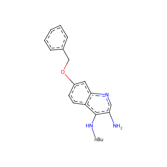 [CH2]CCCNc1c(N)cnc2cc(OCc3ccccc3)ccc12